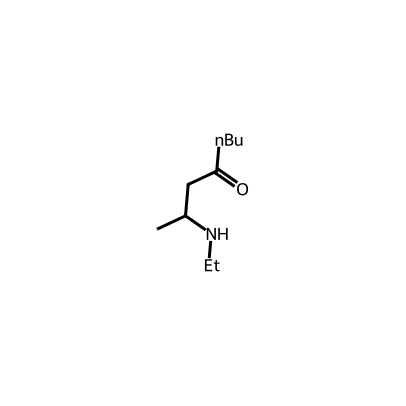 CCCCC(=O)CC(C)NCC